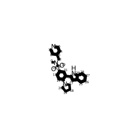 CN(Cc1ccncc1)S(=O)(=O)c1ccc(N2CCCC2)c(-c2cc3ccccc3[nH]2)c1